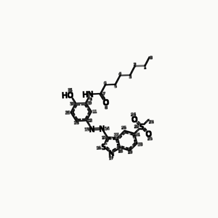 CCCCCCCC(=O)Nc1cc(N=Nc2snc3ccc(S(C)(=O)=O)cc23)ccc1O